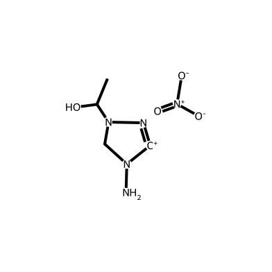 CC(O)N1CN(N)[C+]=N1.O=[N+]([O-])[O-]